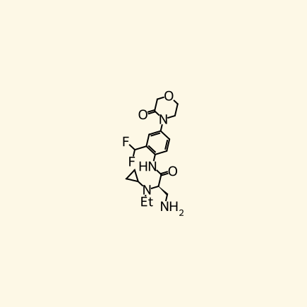 CCN(C1CC1)[C@H](CN)C(=O)Nc1ccc(N2CCOCC2=O)cc1C(F)F